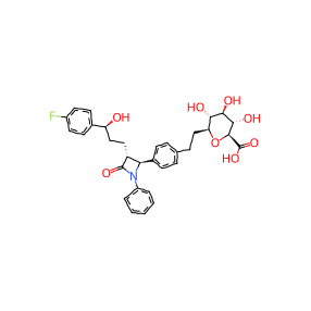 O=C(O)[C@H]1O[C@@H](CCc2ccc([C@@H]3[C@@H](CC[C@H](O)c4ccc(F)cc4)C(=O)N3c3ccccc3)cc2)[C@H](O)[C@@H](O)[C@@H]1O